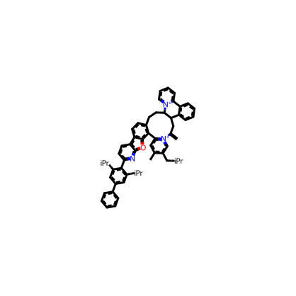 C=C1CC2c3ccccc3-c3cccc[n+]3C2CCc2ccc3c(oc4nc(-c5c(C(C)C)cc(-c6ccccc6)cc5C(C)C)ccc43)c2-c2cc(C)c(CC(C)C)c[n+]21